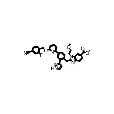 COCCn1c(Cc2ccc(-c3cccc(OCc4ccc(C#N)cc4F)n3)cc2-c2cc[nH]n2)nc2ccc(C(=O)OC)cc21